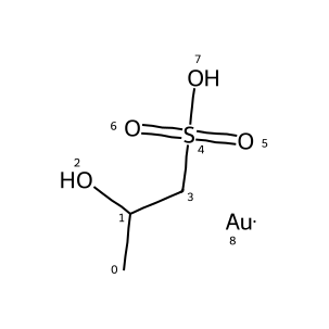 CC(O)CS(=O)(=O)O.[Au]